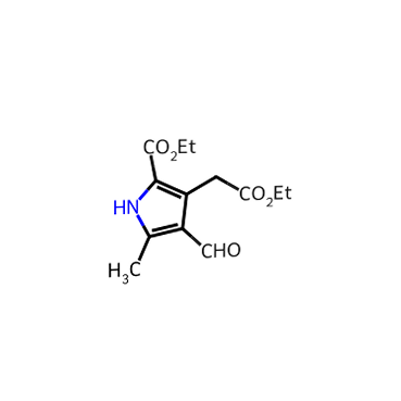 CCOC(=O)Cc1c(C(=O)OCC)[nH]c(C)c1C=O